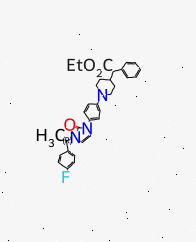 CCOC(=O)C(c1ccccc1)C1CCN(c2ccc(-n3ccn([C@H](C)c4ccc(F)cc4)c3=O)cc2)CC1